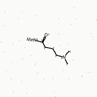 CNC(=O)[CH]CCN(C)C